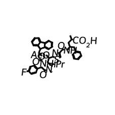 CC(=O)OC(CC(C(C)C)N(C)C(=O)C(NC(=O)OCC1c2ccccc2-c2ccccc21)c1ccc(F)cc1)c1nc(C(=O)NC(Cc2ccccc2)CC(C)C(=O)O)cs1